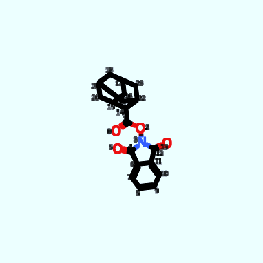 O=C(ON1C(=O)c2ccccc2C1=O)C1C2CC3CC(C2)CC1C3